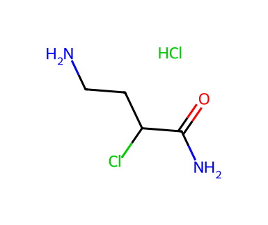 Cl.NCCC(Cl)C(N)=O